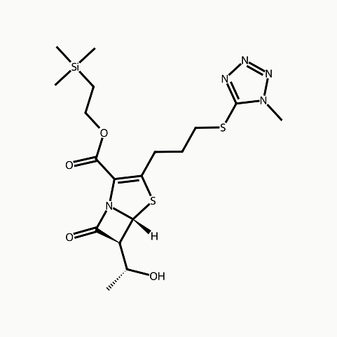 C[C@@H](O)[C@H]1C(=O)N2C(C(=O)OCC[Si](C)(C)C)=C(CCCSc3nnnn3C)S[C@H]12